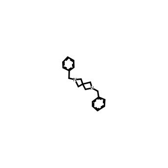 c1ccc(CN2CC3(C2)CN(Cc2ccccc2)C3)cc1